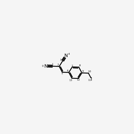 N#CC(C#N)=Cc1ccc(CI)cc1